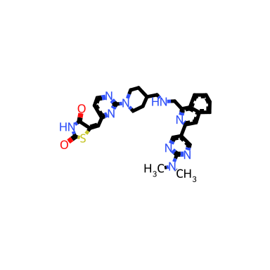 CN(C)c1ncc(-c2cc3ccccc3c(CNCC3CCN(c4nccc(C=C5SC(=O)NC5=O)n4)CC3)n2)cn1